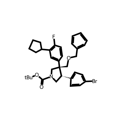 CC(C)(C)OC(=O)N1C[C@@H](c2ccc(Br)cc2)[C@@](COCc2ccccc2)(c2ccc(F)c(C3CCCC3)c2)C1